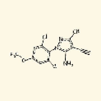 C#Cc1c(C#N)nn(-c2c(Cl)cc(OC(F)(F)F)cc2Cl)c1N